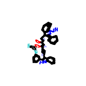 O=C(/C=C(/C=C/c1c(-c2ccccc2)[nH]c2ccccc12)OB(F)F)/C=C/c1c(-c2ccccc2)[nH]c2ccccc12